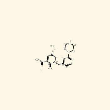 Cl.N=c1c(C(N)=O)cc(Cl)cn1Cc1cccc(N2CCOCC2)c1